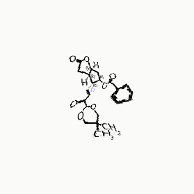 CC1(C)COC(C(=O)/C=C/[C@@H]2[C@H]3CC(=O)O[C@H]3C[C@H]2OC(=O)c2ccccc2)OC1